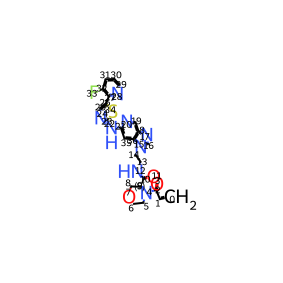 C=CC(=O)N1CCOC[C@H]1C(=O)NCCn1cnc2cnc(Nc3ncc(-c4ncccc4F)s3)cc21